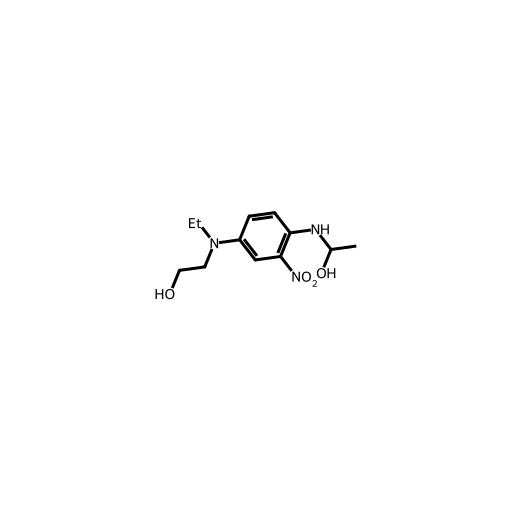 CCN(CCO)c1ccc(NC(C)O)c([N+](=O)[O-])c1